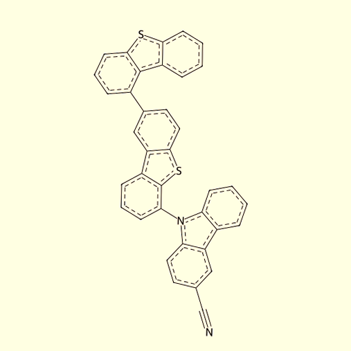 N#Cc1ccc2c(c1)c1ccccc1n2-c1cccc2c1sc1ccc(-c3cccc4sc5ccccc5c34)cc12